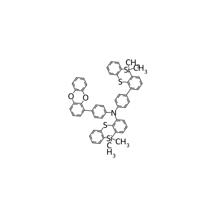 C[Si]1(C)c2ccccc2Sc2c(-c3ccc(N(c4ccc(-c5cccc6c5Oc5ccccc5O6)cc4)c4cccc5c4Sc4ccccc4[Si]5(C)C)cc3)cccc21